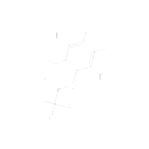 O=C(Oc1c(F)c(F)c(F)c(F)c1F)C(F)(F)C(F)(F)F